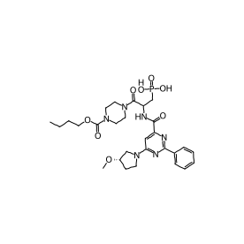 CCCCOC(=O)N1CCN(C(=O)C(CP(=O)(O)O)NC(=O)c2cc(N3CC[C@H](OC)C3)nc(-c3ccccc3)n2)CC1